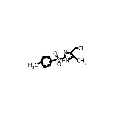 Cc1ccc(S(=O)(=O)c2nc(CCl)c(C)[nH]2)cc1